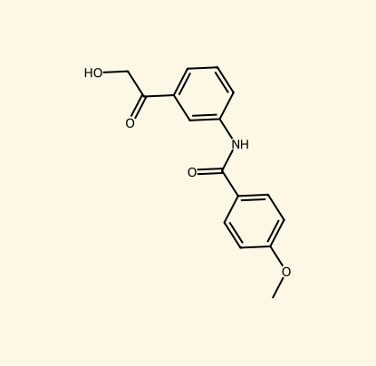 COc1ccc(C(=O)Nc2cccc(C(=O)CO)c2)cc1